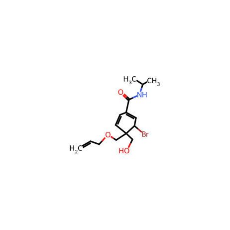 C=CCOCC1(CO)C=CC(C(=O)NC(C)C)=CC1Br